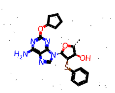 C[C@H]1O[C@@H](n2cnc3c(N)nc(OC4CCCC4)nc32)[C@H](Sc2ccccc2)[C@@H]1O